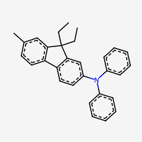 CCC1(CC)c2cc(C)ccc2-c2ccc(N(c3ccccc3)c3ccccc3)cc21